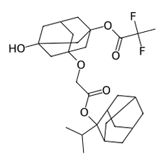 CC(C)C1(OC(=O)COC23CC4CC(O)(C2)CC(OC(=O)C(C)(F)F)(C4)C3)C2CC3CC(C2)CC1C3